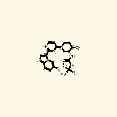 CC(C)(C)OC(=O)N[C@@H]1CN(c2ccnc(-c3cnc4ccc(Cl)cn34)n2)CC[C@H]1O